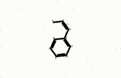 C/C=C\c1cc[c]cc1